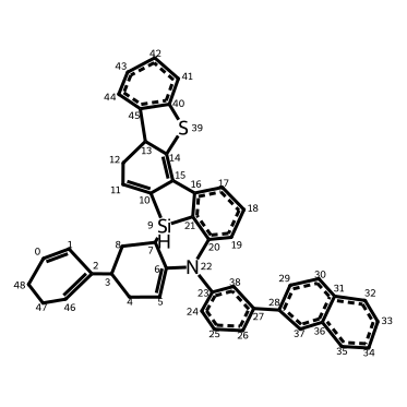 C1=CC(C2CC=C3C(C2)[SiH]2C4=CCC5C(=C4c4cccc(c42)N3c2cccc(-c3ccc4ccccc4c3)c2)Sc2ccccc25)=CCC1